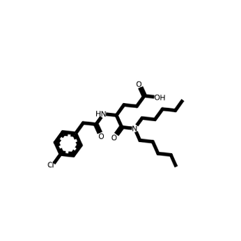 CCCCCN(CCCCC)C(=O)C(CCC(=O)O)NC(=O)Cc1ccc(Cl)cc1